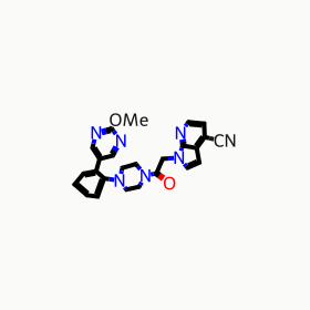 COc1ncc(-c2ccccc2N2CCN(C(=O)Cn3ccc4c(C#N)ccnc43)CC2)cn1